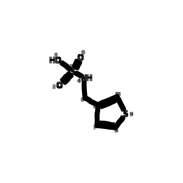 O=S(=O)(O)NCc1ccsc1